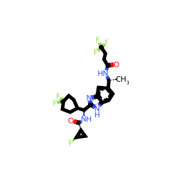 C[C@@H](NC(=O)CCC(F)(F)F)c1ccc2[nH]c([C@@H](NC(=O)[C@@H]3C[C@H]3F)C3CCC(F)(F)CC3)nc2c1